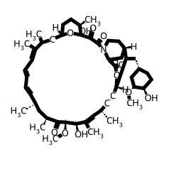 CO[C@@H]1C[C@H](CC2[C@H]3CCN4C(=O)C(=O)[C@]5(O)O[C@@H](CC[C@H]5C)CC(C)/C(C)=C/C=C/C=C/[C@@H](C)C[C@@H](C)C(=O)[C@H](OC)[C@H](O)/C(C)=C/[C@@H](C)CC[C@@H]2OC(=O)[C@@H]4C3)CC[C@H]1O